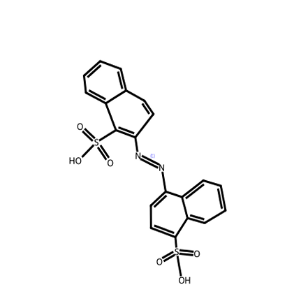 O=S(=O)(O)c1c(/N=N/c2ccc(S(=O)(=O)O)c3ccccc23)ccc2ccccc12